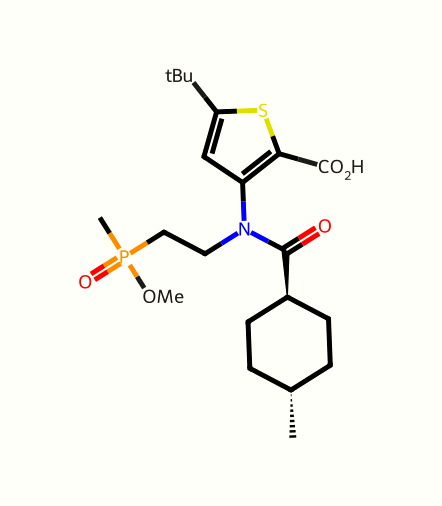 COP(C)(=O)CCN(c1cc(C(C)(C)C)sc1C(=O)O)C(=O)[C@H]1CC[C@H](C)CC1